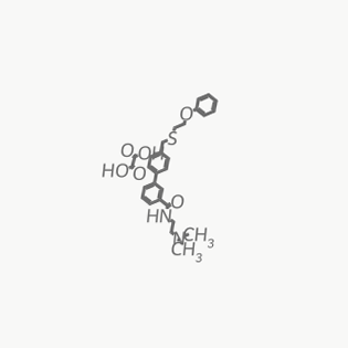 CN(C)CCNC(=O)c1cccc(-c2ccc(CSCCOc3ccccc3)cc2)c1.O=C(O)C(=O)O